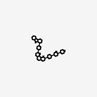 c1ccc2c(c1)sc1c(-c3ccc(-c4ccc5ccc6ccc(-c7ccc(-c8ccc(-c9ccncc9)nc8)cc7)nc6c5n4)cc3)cccc12